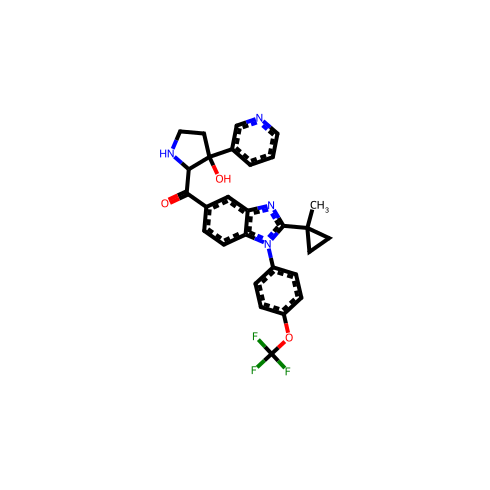 CC1(c2nc3cc(C(=O)C4NCCC4(O)c4cccnc4)ccc3n2-c2ccc(OC(F)(F)F)cc2)CC1